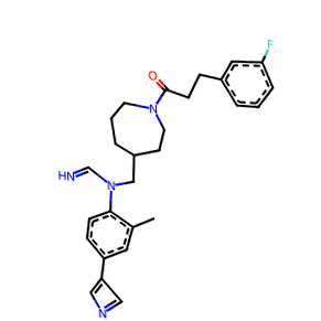 Cc1cc(C2=CN=C2)ccc1N(C=N)CC1CCCN(C(=O)CCc2cccc(F)c2)CC1